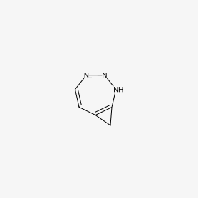 C1=CC2=C(C2)NN=N1